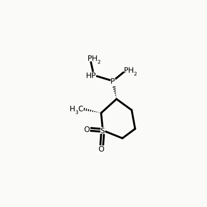 C[C@@H]1[C@H](P(P)PP)CCCS1(=O)=O